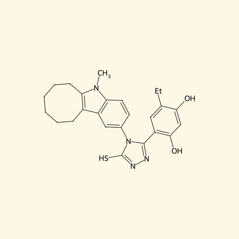 CCc1cc(-c2nnc(S)n2-c2ccc3c(c2)c2c(n3C)CCCCCC2)c(O)cc1O